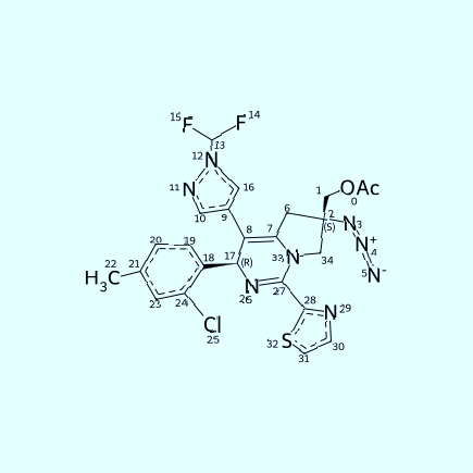 CC(=O)OC[C@]1(N=[N+]=[N-])CC2=C(c3cnn(C(F)F)c3)[C@H](c3ccc(C)cc3Cl)N=C(c3nccs3)N2C1